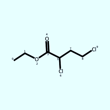 CCOC(=O)C(Cl)CCCl